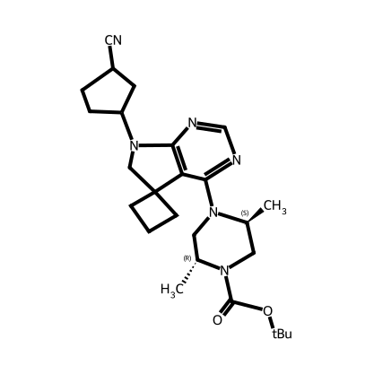 C[C@@H]1CN(c2ncnc3c2C2(CCC2)CN3C2CCC(C#N)C2)[C@@H](C)CN1C(=O)OC(C)(C)C